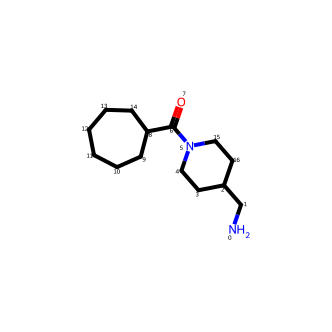 NCC1CCN(C(=O)C2CCCCCC2)CC1